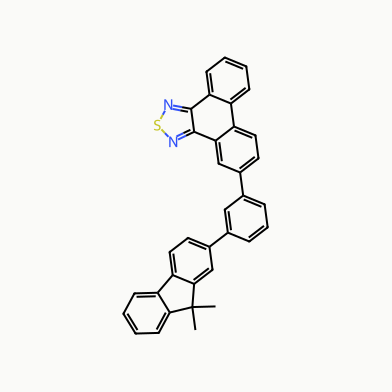 CC1(C)c2ccccc2-c2ccc(-c3cccc(-c4ccc5c6ccccc6c6nsnc6c5c4)c3)cc21